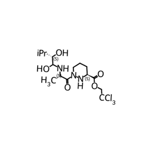 CC(C)[C@H](O)C(O)N[C@@H](C)C(=O)N1CCC[C@@H](C(=O)OCC(Cl)(Cl)Cl)N1